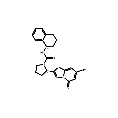 CC(C)c1cc(=O)n2nc([C@H]3CCCN3C(=O)N[C@@H]3CCCc4ccccc43)sc2n1